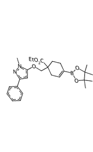 CCOC(=O)C1(COc2cc(-c3ccccc3)nn2C)CC=C(B2OC(C)(C)C(C)(C)O2)CC1